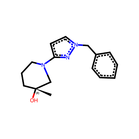 C[C@@]1(O)CCCN(c2ccn(Cc3ccccc3)n2)C1